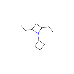 CCC1CC(CC)N1C1CCC1